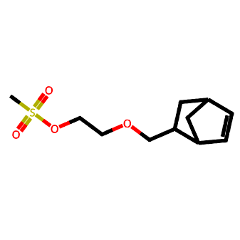 CS(=O)(=O)OCCOCC1CC2C=CC1C2